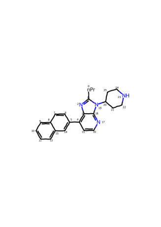 CCCc1nc2c(-c3ccc4ccccc4c3)ccnc2n1C1CCNCC1